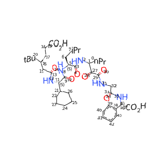 CCCC(NC(=O)[C@H](CC(C)C)NC(=O)[C@@H](NC(=O)CC(CCC(=O)O)C(C)(C)C)C1CCCCC1)C(=O)C(=O)NCC(=O)N[C@H](C(=O)O)c1ccccc1